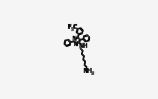 NCCCCCCCCNc1nc(-c2ccccc2)nc(-c2cccc(C(F)(F)F)c2)c1-c1ccccc1